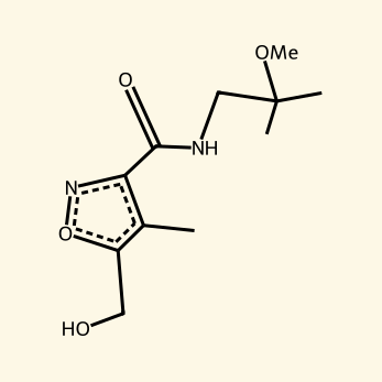 COC(C)(C)CNC(=O)c1noc(CO)c1C